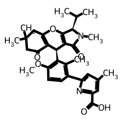 COc1ccc(-c2cc(C)cc(C(=O)O)n2)c(C)c1[C@H]1C2=C(CC(C)(C)CC2=O)OC2=C1C(=O)N(C)[C@@H]2C(C)C